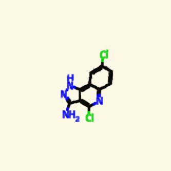 Nc1n[nH]c2c1c(Cl)nc1ccc(Cl)cc12